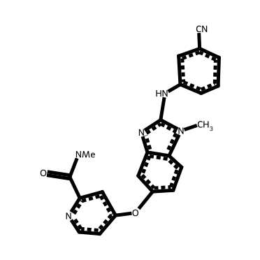 CNC(=O)c1cc(Oc2ccc3c(c2)nc(Nc2cccc(C#N)c2)n3C)ccn1